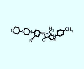 Cc1ccc(-n2ncc(C(=O)Nc3ccc(N4CCN(C5CCOCC5)CC4)c(C#N)c3)c2C)cc1